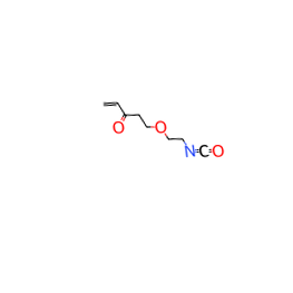 C=CC(=O)CCOCCN=C=O